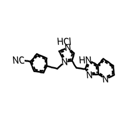 Cl.N#Cc1ccc(Cn2cncc2Cc2nc3ncccc3[nH]2)cc1